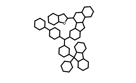 C1CCC(C2CCC(C(C3CCC4CC5C6CCCCC6CC(C6CC7CCCCC7O6)C5C4C3)C3CCCC(C4(C5CCCCC5)C5CCCCC5C5CCCCC54)C3)CC2)CC1